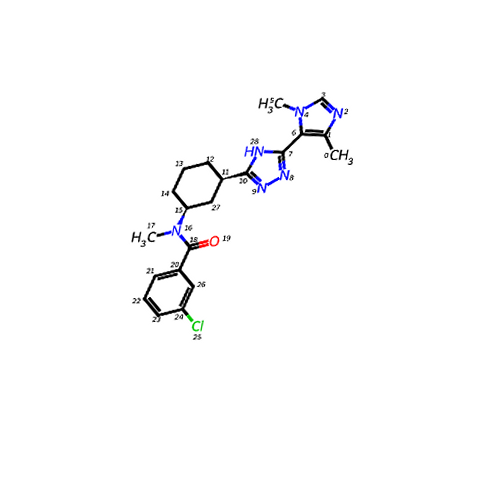 Cc1ncn(C)c1-c1nnc([C@@H]2CCC[C@H](N(C)C(=O)c3cccc(Cl)c3)C2)[nH]1